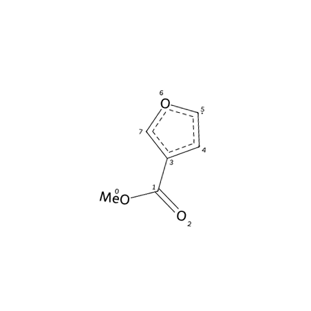 COC(=O)c1c[c]oc1